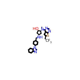 CN(c1ncnc2sc(CC(F)(F)F)cc12)[C@H]1C[C@@H](NCc2ccc(-n3cnc4ccccc43)cc2)C[C@H]1O